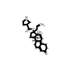 C=CCC1(OC(=O)C2CCNC2)CC[C@H]2[C@@H]3CCC4=CC(=O)CCC4=C3C=C[C@@]21C